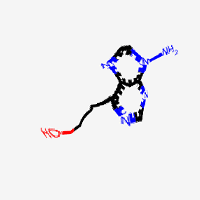 Nn1cnc2c(CCO)ncnc21